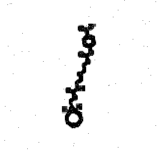 O=C(NCCOCCOC(=O)Oc1ccc([N+](=O)[O-])cc1)OC[C@@H]1[C@@H]2CCC#CCC[C@@H]21